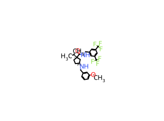 COc1cccc(CN[C@@H]2CC[C@@](C(=O)NCc3cc(C(F)(F)F)cc(C(F)(F)F)c3)(C(C)C)C2)c1